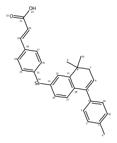 Cc1ccc(C2=CCC(C)(C)c3cc([Se]c4ccc(C=CC(=O)O)cc4)ccc32)cc1